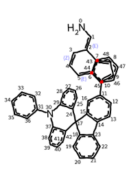 N\C=C(/C=C\C=C1/C=CC=C1c1ccc2c(c1)C1(c3ccccc3-2)c2ccccc2N(c2ccccc2)c2ccccc21)c1ccccc1